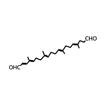 CC(/C=C/C=O)=C\CC/C(C)=C/CC/C=C(\C)CC/C=C(\C)CCC=O